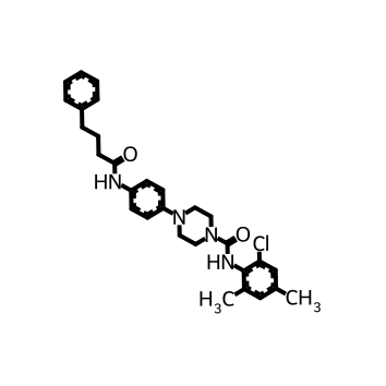 Cc1cc(C)c(NC(=O)N2CCN(c3ccc(NC(=O)CCCc4ccccc4)cc3)CC2)c(Cl)c1